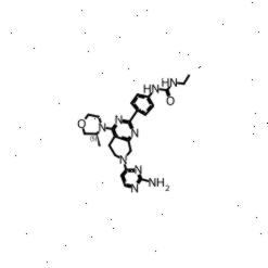 CCNC(=O)Nc1ccc(-c2nc3c(c(N4CCOC[C@@H]4C)n2)CCN(c2ccnc(N)n2)C3)cc1